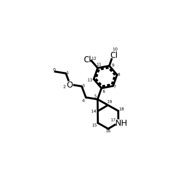 CCOCCC1(c2ccc(Cl)c(Cl)c2)C2CCNCC21